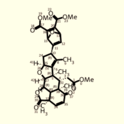 COC(=O)C[C@H]1[C@]2(C)C3=C(C)[C@H](C4=CC5OC4C(C(=O)OC)=C5C(=O)OC)C[C@@H]3O[C@@H]2[C@@H]2OC(=O)[C@]3(C)C=CC(=O)[C@@]1(C)C23